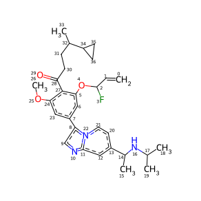 C=CC(F)Oc1cc(-c2cnc3cc(C(C)NC(C)C)ccn23)cc(OC)c1C(=O)CCC(C)C1CC1